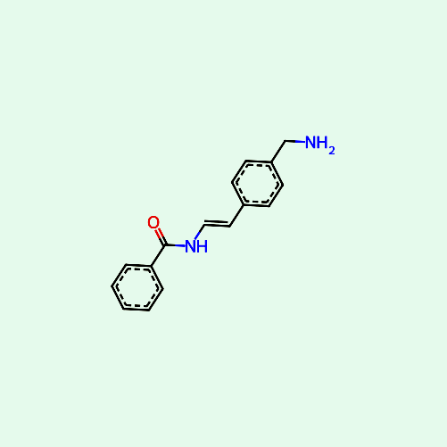 NCc1ccc(C=CNC(=O)c2ccccc2)cc1